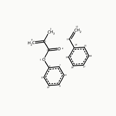 C=C(C)C(=O)Oc1ccccc1.C=Cc1ccccc1